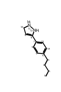 CCCCc1ccc(C2=CCNN2)cc1